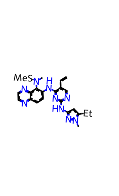 C=Cc1cnc(Nc2cc(CC)n(C)n2)nc1Nc1ccc2nccnc2c1N(C)SC